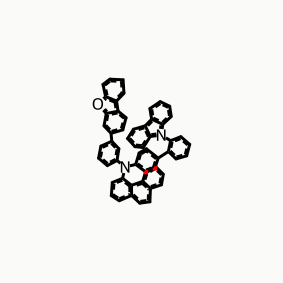 c1cc(-c2ccc3c(c2)oc2ccccc23)cc(N(c2ccc(-c3ccccc3-n3c4ccccc4c4ccccc43)cc2)c2cccc3ccc4ccccc4c23)c1